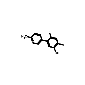 Cc1ccc(-c2cc(O)c(I)cc2F)cn1